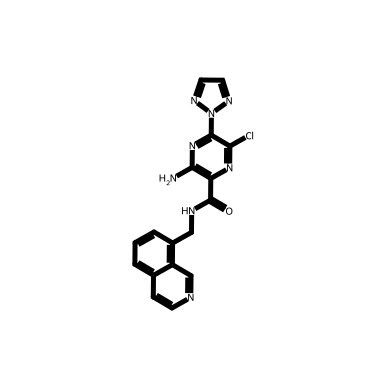 Nc1nc(-n2nccn2)c(Cl)nc1C(=O)NCc1cccc2ccncc12